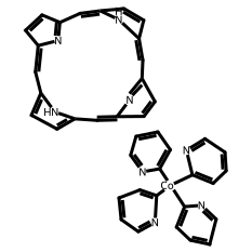 C1=Cc2cc3ccc(cc4nc(cc5ccc(cc1n2)[nH]5)C=C4)[nH]3.c1cc[c]([Co]([c]2ccccn2)([c]2ccccn2)[c]2ccccn2)nc1